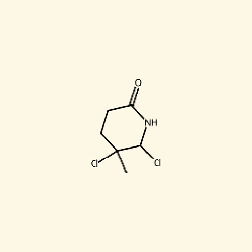 CC1(Cl)CCC(=O)NC1Cl